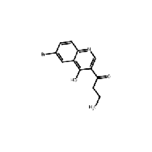 CCCC(=O)c1cnc2ccc(Br)cc2c1O